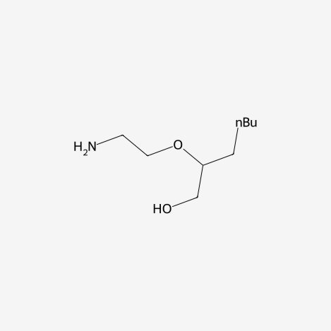 CCCCCC(CO)OCCN